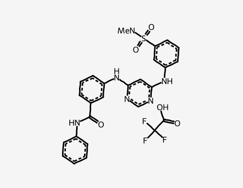 CNS(=O)(=O)c1cccc(Nc2cc(Nc3cccc(C(=O)Nc4ccccc4)c3)ncn2)c1.O=C(O)C(F)(F)F